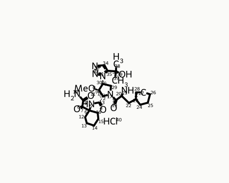 CO[C@@H]1[C@@H](C(=O)NC2(C(=O)C(N)=O)CCCCC2)N(C(=O)C(N)CC2CCCCC2)C[C@H]1n1nncc1C(C)(C)O.Cl